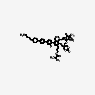 C=C(C)C(=O)OCCCc1cc(-c2ccc(-c3ccc(C4CCC(CCCCC)CC4)cc3)cc2F)c(CC)c(CCCOC(=O)C(=C)C)c1OCC1(COC(=O)C(=C)C)COC(=O)OC1